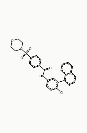 O=C(Nc1ccc(Cl)c(-c2nccc3ccccc23)c1)c1ccc(S(=O)(=O)N2CCOCC2)cc1